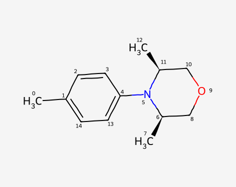 Cc1ccc(N2[C@H](C)COC[C@@H]2C)cc1